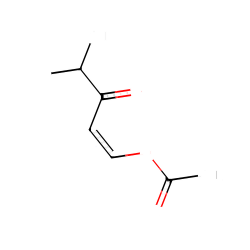 CC(=O)O/C=C\C(=O)C(C)C